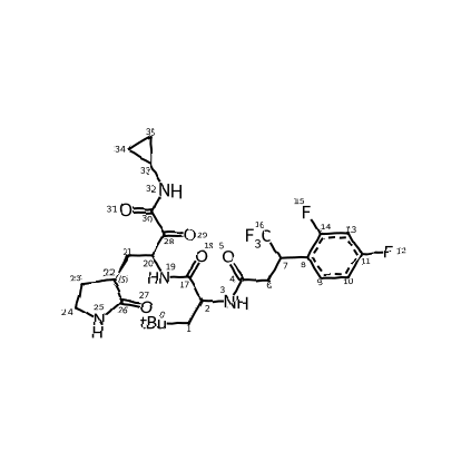 CC(C)(C)CC(NC(=O)CC(c1ccc(F)cc1F)C(F)(F)F)C(=O)NC(C[C@@H]1CCNC1=O)C(=O)C(=O)NC1CC1